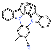 Cc1cc(-n2c3ccccc3c3ccccc32)c(-n2c3ccccc3c3ccccc32)cc1C#N